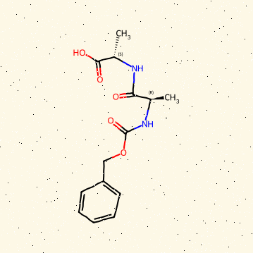 C[C@H](NC(=O)[C@@H](C)NC(=O)OCc1ccccc1)C(=O)O